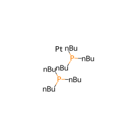 CCCCP(CCCC)CCCC.CCCCP(CCCC)CCCC.[Pt]